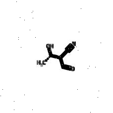 C[C@H](O)C(C#N)C=O